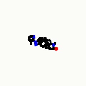 Cc1cccnc1NC1CC[C@H]2[C@@H]3CCC4N(C)C(=O)C=C[C@]4(C)[C@@H]3CC[C@]12C